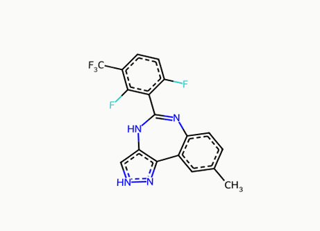 Cc1ccc2c(c1)-c1n[nH]cc1NC(c1c(F)ccc(C(F)(F)F)c1F)=N2